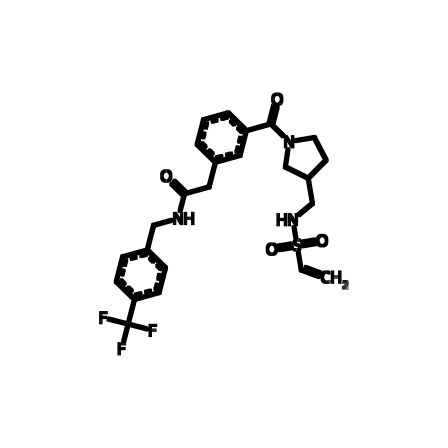 C=CS(=O)(=O)NCC1CCN(C(=O)c2cccc(CC(=O)NCc3ccc(C(F)(F)F)cc3)c2)C1